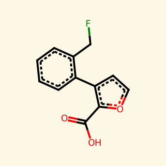 O=C(O)c1occc1-c1ccccc1CF